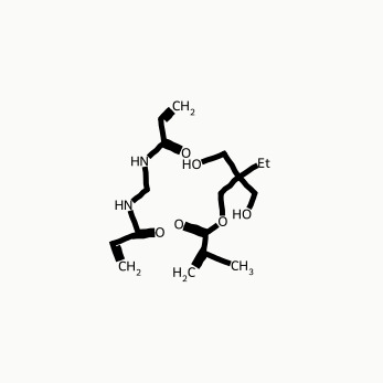 C=C(C)C(=O)OCC(CC)(CO)CO.C=CC(=O)NCNC(=O)C=C